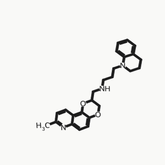 Cc1ccc2c3c(ccc2n1)OCC(CNCCCN1CCCc2ccccc21)O3